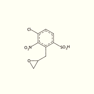 O=[N+]([O-])c1c(Cl)ccc(S(=O)(=O)O)c1CC1CO1